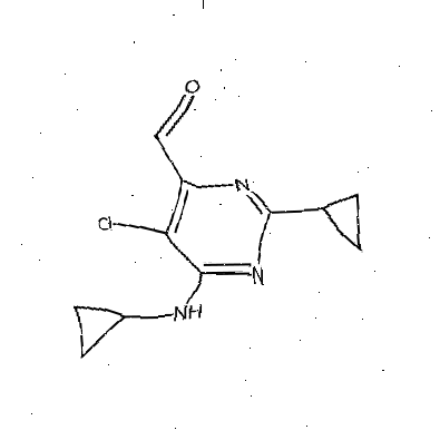 O=Cc1nc(C2CC2)nc(NC2CC2)c1Cl